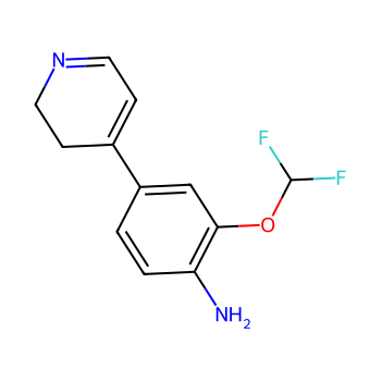 Nc1ccc(C2=CC=NCC2)cc1OC(F)F